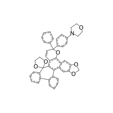 C1=CC(c2ccccc2)(c2ccc(N3CCOCC3)cc2)Oc2c1c1c(c3cc4c(cc23)OCO4)-c2ccccc2-c2ccccc2C12OCCO2